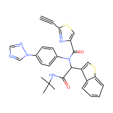 C#Cc1nc(C(=O)N(c2ccc(-n3cncn3)cc2)C(C(=O)NC(C)(C)C)c2csc3ccccc23)cs1